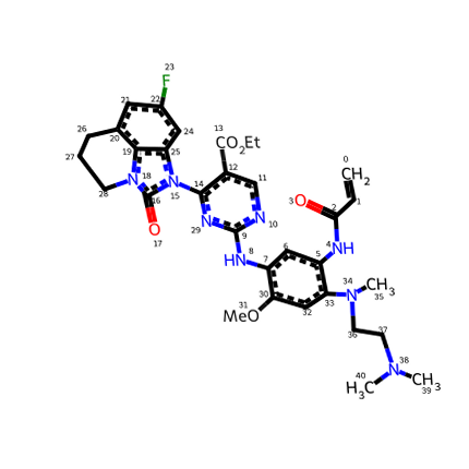 C=CC(=O)Nc1cc(Nc2ncc(C(=O)OCC)c(-n3c(=O)n4c5c(cc(F)cc53)CCC4)n2)c(OC)cc1N(C)CCN(C)C